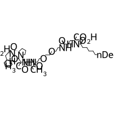 CCCCCCCCCCCCCCCC(=O)N[C@@H](CCC(=O)NCCOCCOCC(=O)N[C@@H](C)C(=O)N[C@@H](C)C(=O)N1CCC[C@H]1C(=O)N[C@@H](Cc1ccccc1)C(=O)O)C(=O)O